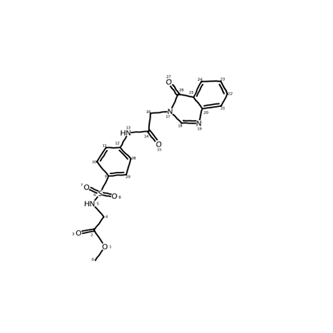 COC(=O)CNS(=O)(=O)c1ccc(NC(=O)Cn2cnc3ccccc3c2=O)cc1